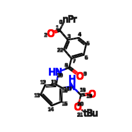 CCCC(=O)c1cccc(C(=O)Nc2ccccc2NC(=O)OC(C)(C)C)c1